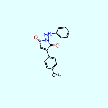 Cc1ccc(C2=CC(=O)N(Nc3ccccc3)C2=O)cc1